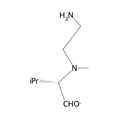 CC(C)[C@@H]([C]=O)N(C)CCN